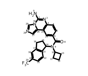 Nc1nc2ccc(C(=O)N(C3CCC3)C3CCc4cc(C(F)(F)F)ccc43)cc2c2cncn12